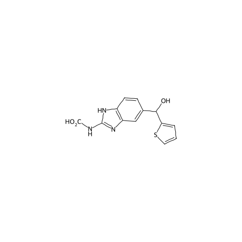 O=C(O)Nc1nc2cc(C(O)c3cccs3)ccc2[nH]1